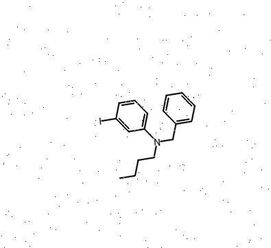 CCCCN(Cc1ccccc1)c1cccc(I)c1